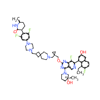 C=C1CCC(c2c(F)cc(N3CCN(CC4CC5(CCN(CC6(COc7nc(N8CCC[C@@](C)(O)C8)c8cnc(-c9cc(O)cc%10ccc(F)c(CC)c9%10)c(F)c8n7)CC6)CC5)C4)CC3)cc2F)C(=O)N1